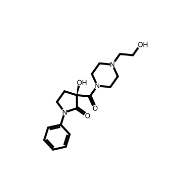 O=C(N1CCN(CCO)CC1)[C@@]1(O)CCN(c2ccccc2)C1=O